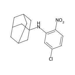 O=[N+]([O-])c1ccc(Cl)cc1NC12CC3CC(CC(C3)C1)C2